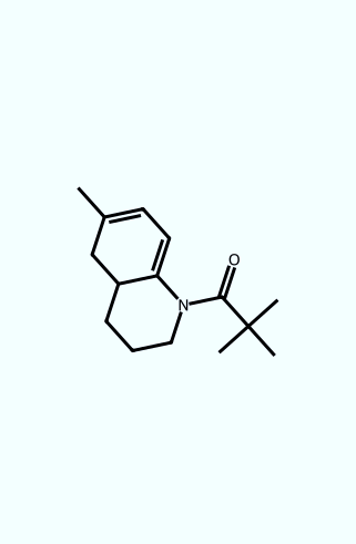 CC1=CC=C2C(CCCN2C(=O)C(C)(C)C)C1